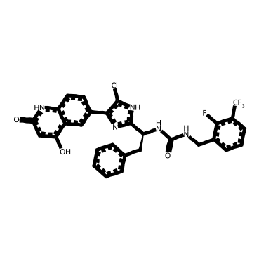 O=C(NCc1cccc(C(F)(F)F)c1F)N[C@@H](Cc1ccccc1)c1nc(-c2ccc3[nH]c(=O)cc(O)c3c2)c(Cl)[nH]1